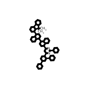 CC1(C)c2ccccc2-c2cccc(-c3ccc(-c4ccc(-c5cc(-c6ccc(-c7ccccc7)cc6-c6ccccc6)nc(-c6ccccc6)n5)c5ccccc45)c4ccccc34)c21